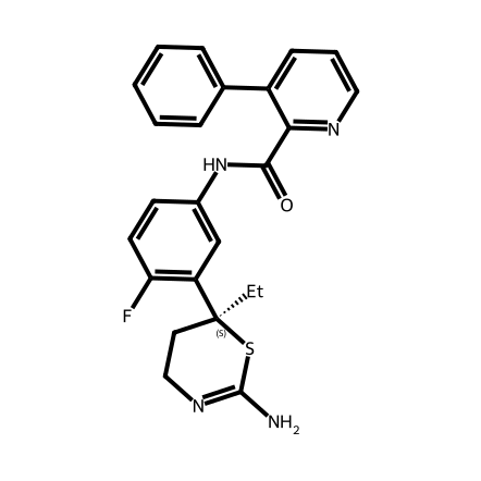 CC[C@@]1(c2cc(NC(=O)c3ncccc3-c3ccccc3)ccc2F)CCN=C(N)S1